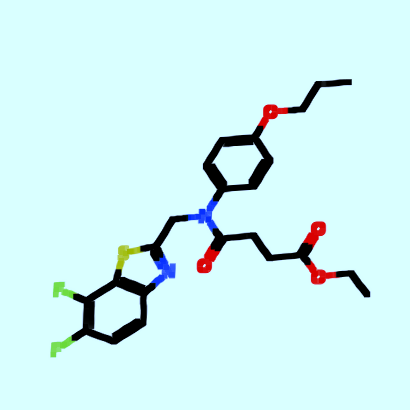 CCCOc1ccc(N(Cc2nc3ccc(F)c(F)c3s2)C(=O)CCC(=O)OCC)cc1